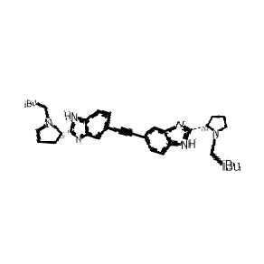 CCC(C)CN1CCC[C@H]1c1nc2cc(C#Cc3ccc4[nH]c([C@@H]5CCCN5CC(C)CC)nc4c3)ccc2[nH]1